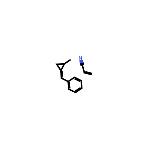 C=CC#N.CC1CC1=Cc1ccccc1